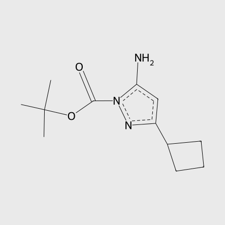 CC(C)(C)OC(=O)n1nc(C2CCC2)cc1N